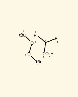 CC(C)(C)OOC(C)(C)C.CCC(CC)C(=O)O